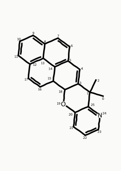 CC1(C)C2=Cc3ccc4cccc5c4c3C(C=C5)C2Oc2cccnc21